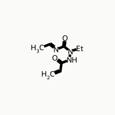 C=CC(=O)NN(CC)C(=O)N=CC